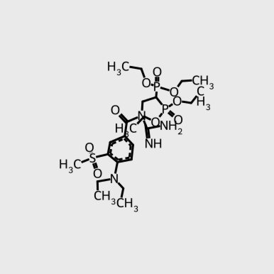 CCOP(=O)(OCC)C(CN(C(=N)N)C(=O)c1ccc(N(CC)CC)c(S(C)(=O)=O)c1)P(=O)(OCC)OCC